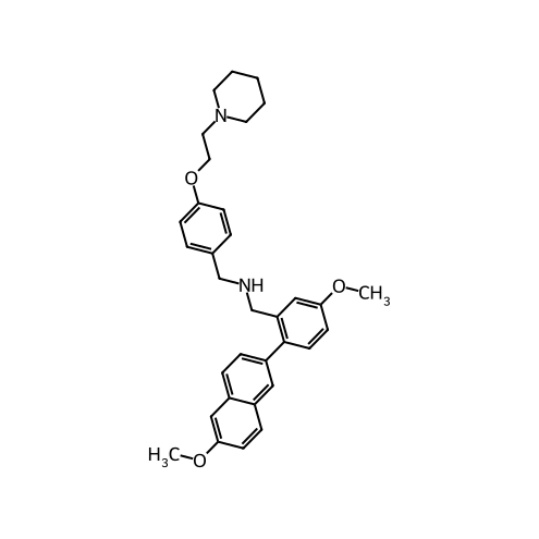 COc1ccc(-c2ccc3cc(OC)ccc3c2)c(CNCc2ccc(OCCN3CCCCC3)cc2)c1